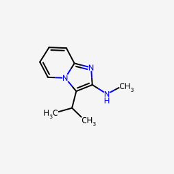 CNc1nc2ccccn2c1C(C)C